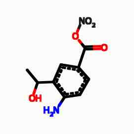 CC(O)c1cc(C(=O)O[N+](=O)[O-])ccc1N